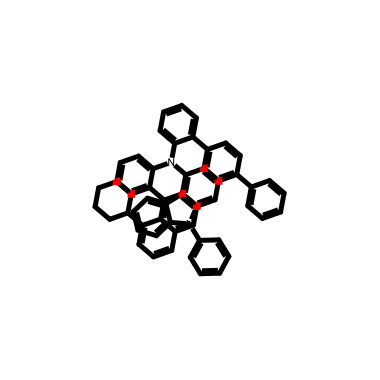 c1ccc(-c2ccc(-c3ccccc3N(c3ccccc3-c3cccc4cccc(C5CCCCC5)c34)c3cccc4c3c3ccccc3n4-c3ccccc3)cc2)cc1